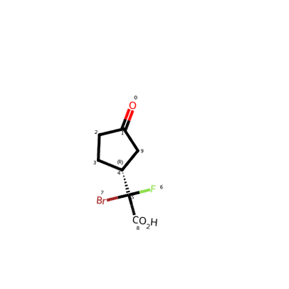 O=C1CC[C@@H](C(F)(Br)C(=O)O)C1